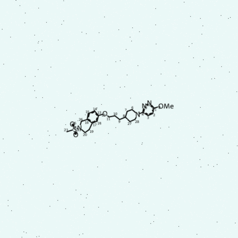 COc1ccc(N2CCC(CCCOc3ccc4c(c3)CCN(S(C)(=O)=O)C4)CC2)nn1